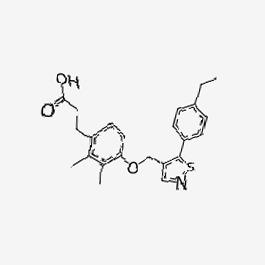 CCc1ccc(-c2sncc2COc2ccc(CCC(=O)O)c(C)c2C)cc1